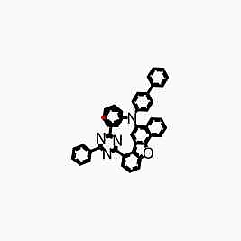 c1ccc(-c2ccc(N(c3ccccc3)c3cc4c(oc5cccc(-c6nc(-c7ccccc7)nc(-c7ccccc7)n6)c54)c4ccccc34)cc2)cc1